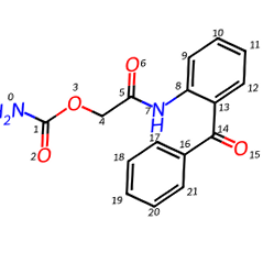 NC(=O)OCC(=O)Nc1ccccc1C(=O)c1ccccc1